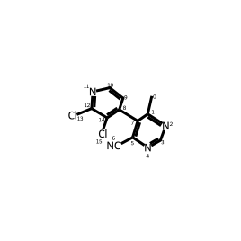 Cc1ncnc(C#N)c1-c1ccnc(Cl)c1Cl